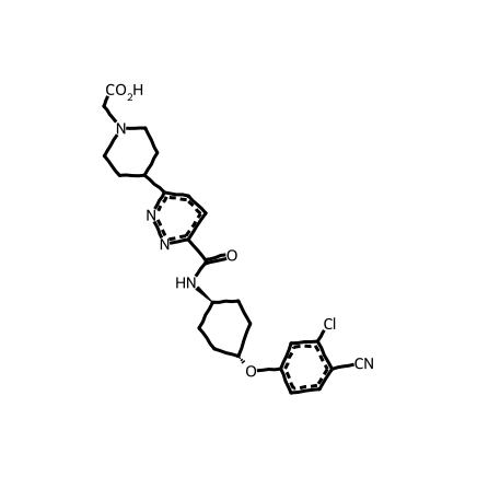 N#Cc1ccc(O[C@H]2CC[C@H](NC(=O)c3ccc(C4CCN(CC(=O)O)CC4)nn3)CC2)cc1Cl